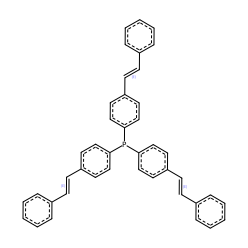 C(=C\c1ccc(P(c2ccc(/C=C/c3ccccc3)cc2)c2ccc(/C=C/c3ccccc3)cc2)cc1)/c1ccccc1